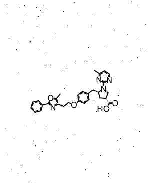 Cc1ccnc(N2C[C@H](C(=O)O)C[C@H]2Cc2ccc(OCCc3nc(-c4ccccc4)oc3C)cc2)n1